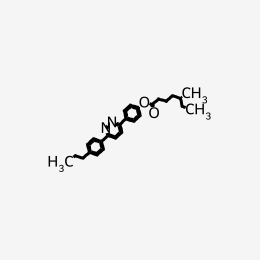 CCCc1ccc(-c2ccc(-c3ccc(OC(=O)CCC[C@@H](C)CC)cc3)nn2)cc1